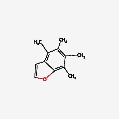 Cc1c(C)c(C)c2occc2c1C